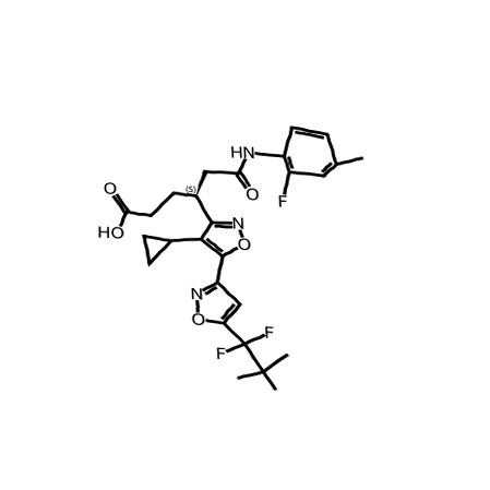 Cc1ccc(NC(=O)C[C@H](CCC(=O)O)c2noc(-c3cc(C(F)(F)C(C)(C)C)on3)c2C2CC2)c(F)c1